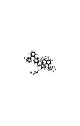 CCCCc1cn(-c2c(C(C)(C)C)cccc2C(C)(C)C)c(=O)n1Cc1ccc(-c2ccccc2-c2nnn[nH]2)nc1